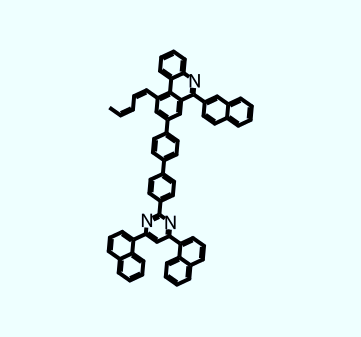 C/C=C\C=C/c1cc(-c2ccc(-c3ccc(-c4nc(-c5cccc6ccccc56)cc(-c5cccc6ccccc56)n4)cc3)cc2)cc2c(-c3ccc4ccccc4c3)nc3ccccc3c12